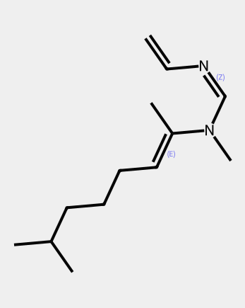 C=C/N=C\N(C)/C(C)=C/CCCC(C)C